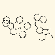 C=CC1=C(/C=C\C)c2ccc(N(c3ccc(C4(c5ccccc5)c5ccccc5C5(c6ccccc6)c6ccccc6-c6cccc4c65)cc3)c3cccc4ccccc34)cc2C1(C)C